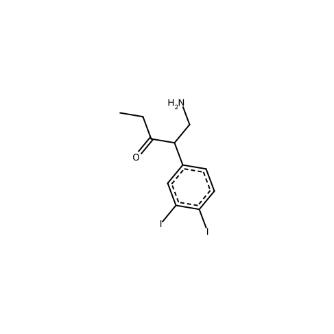 CCC(=O)C(CN)c1ccc(I)c(I)c1